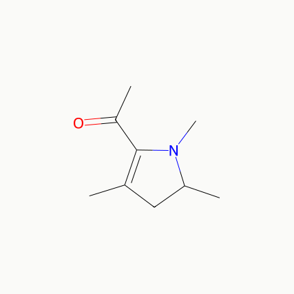 CC(=O)C1=C(C)CC(C)N1C